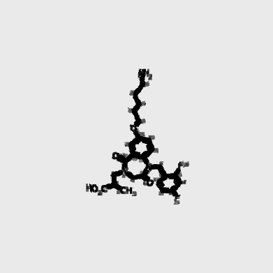 CC(CN1CC(=O)N(Cc2ccc(F)cc2F)c2ccc(OCCCCCN)cc2C1=O)C(=O)O